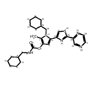 Cc1c(OC(=O)NCC2CCCCC2)cc(-c2csc(-c3cnccn3)n2)n1CC1CCCCC1